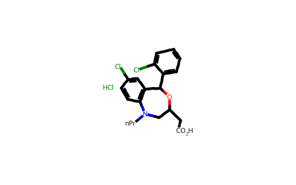 CCCN1CC(CC(=O)O)OC(c2ccccc2Cl)c2cc(Cl)ccc21.Cl